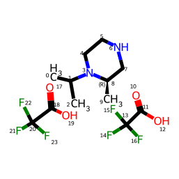 CC(C)N1CCNC[C@H]1C.O=C(O)C(F)(F)F.O=C(O)C(F)(F)F